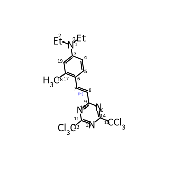 CCN(CC)c1ccc(/C=C/c2nc(C(Cl)(Cl)Cl)nc(C(Cl)(Cl)Cl)n2)c(C)c1